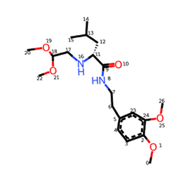 COc1ccc(CCNC(=O)[C@@H](CC(C)C)NCC(OC)OC)cc1OC